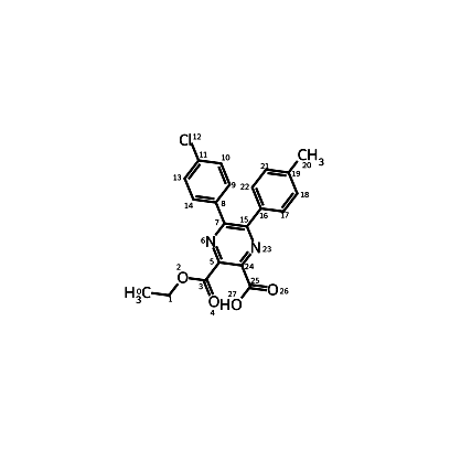 CCOC(=O)c1nc(-c2ccc(Cl)cc2)c(-c2ccc(C)cc2)nc1C(=O)O